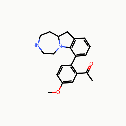 COc1ccc(-c2cccc3c2N2CCNCCC2C3)c(C(C)=O)c1